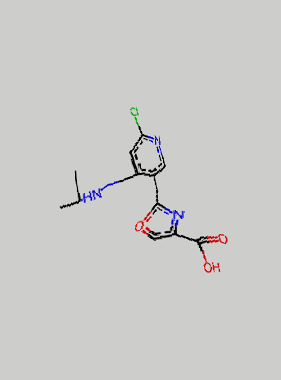 CC(C)Nc1cc(Cl)ncc1-c1nc(C(=O)O)co1